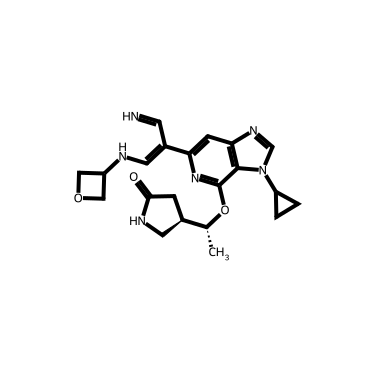 C[C@@H](Oc1nc(/C(C=N)=C/NC2COC2)cc2ncn(C3CC3)c12)[C@H]1CNC(=O)C1